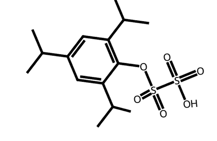 CC(C)c1cc(C(C)C)c(OS(=O)(=O)S(=O)(=O)O)c(C(C)C)c1